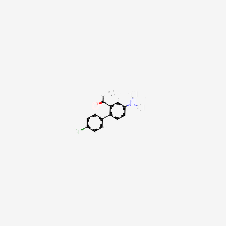 COC(=O)c1cc(N(C)C)ccc1-c1ccc(Br)cc1